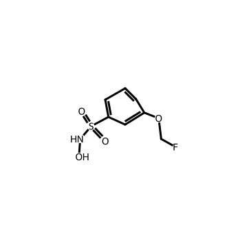 O=S(=O)(NO)c1cccc(OCF)c1